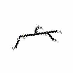 CCCCCCCCOC/C=C\COC(=O)CCCCCCCCC(CCCCCCCCC(=O)OC(CCCCCCCC)CCCCCCCC)OC(=O)CCCN(C)C